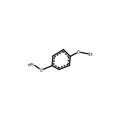 CCCOc1[c]cc(OCC)cc1